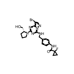 O=C(Nc1ccc(CNc2nc(N3CCC[C@@H]3CO)nc3c(Br)cnn23)cc1)C1(F)CC1